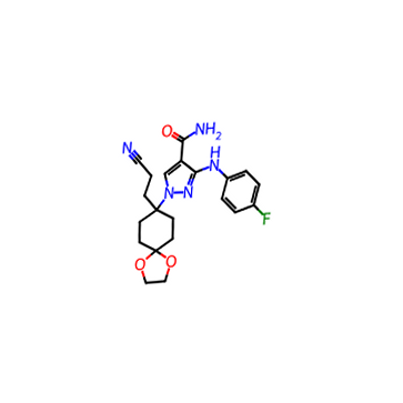 N#CCCC1(n2cc(C(N)=O)c(Nc3ccc(F)cc3)n2)CCC2(CC1)OCCO2